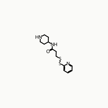 O=C(CCSSc1ccccn1)NC1CCNCC1